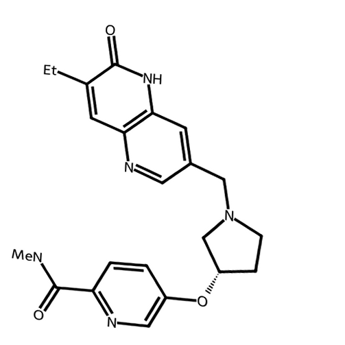 CCc1cc2ncc(CN3CC[C@H](Oc4ccc(C(=O)NC)nc4)C3)cc2[nH]c1=O